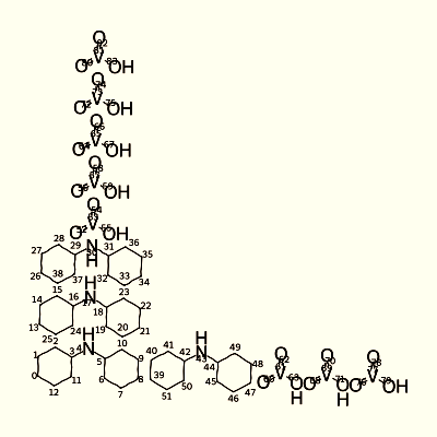 C1CCC(NC2CCCCC2)CC1.C1CCC(NC2CCCCC2)CC1.C1CCC(NC2CCCCC2)CC1.C1CCC(NC2CCCCC2)CC1.[O]=[V](=[O])[OH].[O]=[V](=[O])[OH].[O]=[V](=[O])[OH].[O]=[V](=[O])[OH].[O]=[V](=[O])[OH].[O]=[V](=[O])[OH].[O]=[V](=[O])[OH].[O]=[V](=[O])[OH]